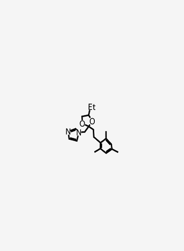 CCC1COC(CCc2c(C)cc(C)cc2C)(Cn2ccnc2)O1